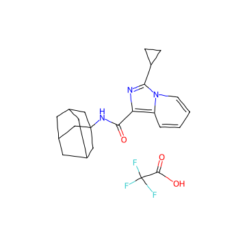 O=C(NC12CC3CC(CC(C3)C1)C2)c1nc(C2CC2)n2ccccc12.O=C(O)C(F)(F)F